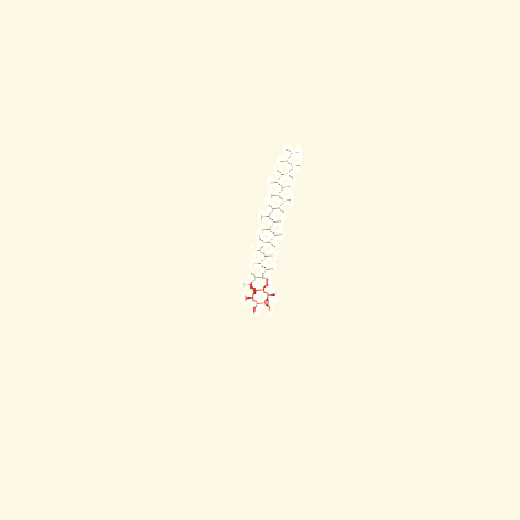 II(I)I(I)I(I)I(I)I(I)I(I)I(I)I(I)I(I)I(I)I(I)I(I)I(I)I(I)I(I)I(I)I(I)I(I)I(I)I(I)I(I)I(I)I(I)I(I)I(I)I(I)I(I)I(I)I(I)I(I)I(I)I(I)I(I)I(I)I(I)I(I)I(I)I(I)I(I)I